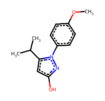 COc1ccc(-n2nc(O)cc2C(C)C)cc1